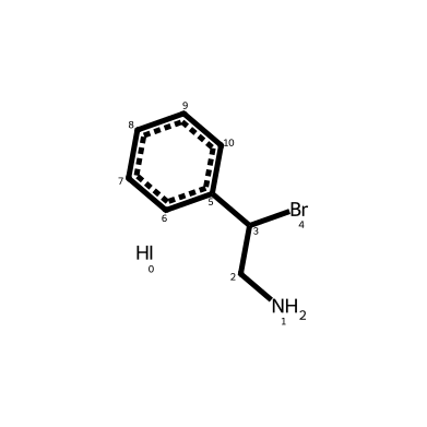 I.NCC(Br)c1ccccc1